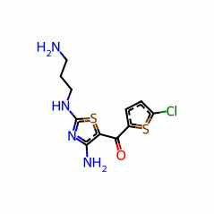 NCCCNc1nc(N)c(C(=O)c2ccc(Cl)s2)s1